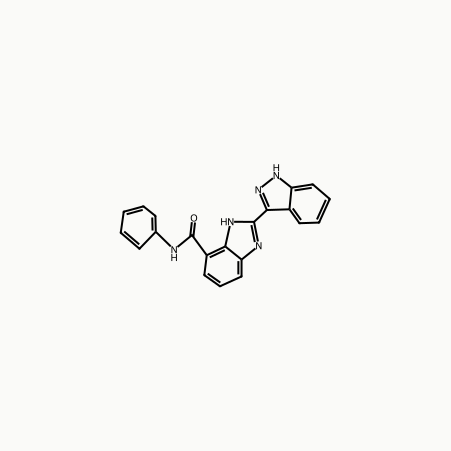 O=C(Nc1ccccc1)c1cccc2nc(-c3n[nH]c4ccccc34)[nH]c12